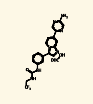 Nc1cnc(-c2ccn3c(-c4cccc(NC(=O)NCC(F)(F)F)c4)cnc3c2)cn1.O=CO